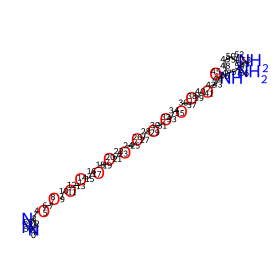 Cn1cc(COCCOCCOCCOCCOCCOCCOCCOCCOCCOCCOCCOCCOCCC(=O)NC2CCCC(C)(N)C(C)(N)C2)nn1